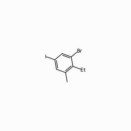 CCc1c(C)cc(I)cc1Br